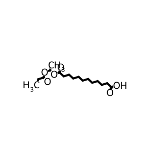 CCC(=O)OC(C)OC(=O)CCCCCCCCCCC(=O)O